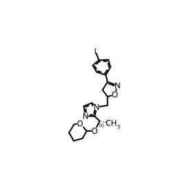 C[C@H](OC1CCCCO1)c1nccn1CC1CC(c2ccc(I)cc2)=NO1